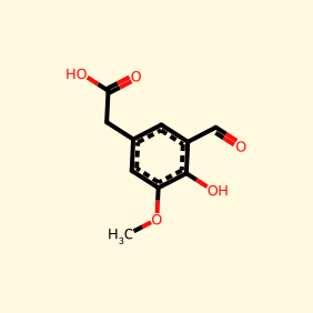 COc1cc(CC(=O)O)cc(C=O)c1O